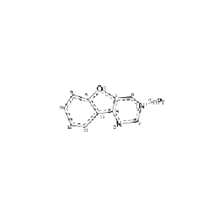 CCC[n+]1cnc2c(c1)oc1ccccc12